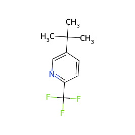 CC(C)(C)c1ccc(C(F)(F)F)nc1